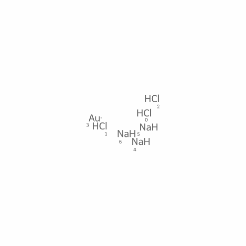 Cl.Cl.Cl.[Au].[NaH].[NaH].[NaH]